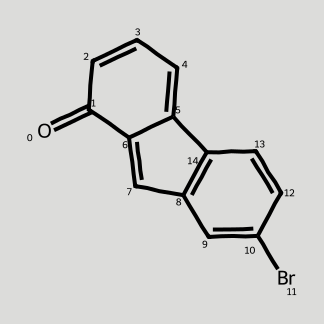 O=C1C=CC=C2C1=Cc1cc(Br)ccc12